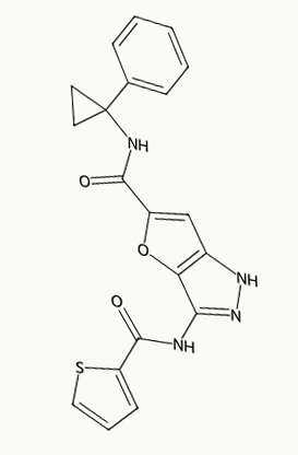 O=C(NC1(c2ccccc2)CC1)c1cc2[nH]nc(NC(=O)c3cccs3)c2o1